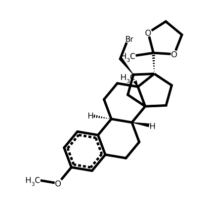 COc1ccc2c(c1)CC[C@@H]1[C@@H]2CC[C@@]2(C)C13CC[C@]2(C1(C)OCCO1)[C@H](CBr)C3